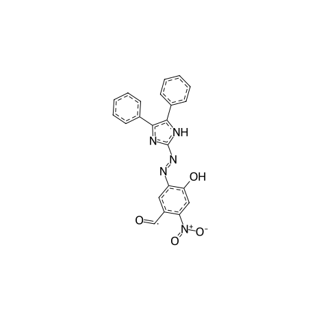 O=[C]c1cc(N=Nc2nc(-c3ccccc3)c(-c3ccccc3)[nH]2)c(O)cc1[N+](=O)[O-]